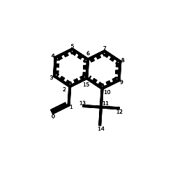 C=Cc1cccc2cccc(C(C)(C)C)c12